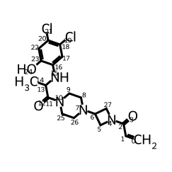 C=CC(=O)N1CC(N2CCN(C(=O)C(C)Nc3cc(Cl)c(Cl)cc3O)CC2)C1